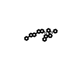 c1ccc(-c2ccc3cc(-c4ccc5ccc(N(c6ccc7ccccc7c6)c6cccc7c6c6ccccc6n7-c6ccccc6)cc5c4)ccc3c2)cc1